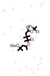 CCC(CC(C)(C)C(C)(CC)OC(C)CC(C)(C)OC)OC(C)(CC)C(C)C